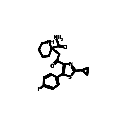 NC(=O)C1([CH]C(=O)c2nc(C3CC3)sc2-c2ccc(F)cc2)CCCCN1